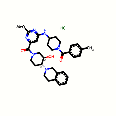 COc1nc(NC2CCN(C(=O)c3ccc(C)cc3)CC2)cc(C(=O)N2CC[C@@H](N3CCc4ccccc4C3)[C@H](O)C2)n1.Cl